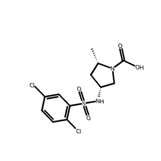 C[C@H]1C[C@@H](NS(=O)(=O)c2cc(Cl)ccc2Cl)CN1C(=O)O